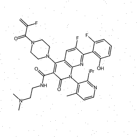 C=C(F)C(=O)N1CCN(c2c(C(=O)NCCN(C)C)c(=O)n(-c3c(C)ccnc3C(C)C)c3nc(-c4c(O)cccc4F)c(F)cc23)CC1